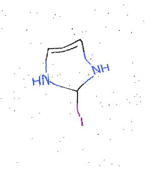 IC1NC=CN1